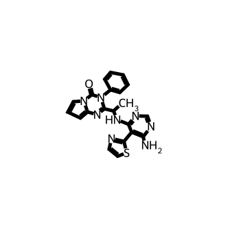 CC(Nc1ncnc(N)c1-c1nccs1)c1nc2cccn2c(=O)n1-c1ccccc1